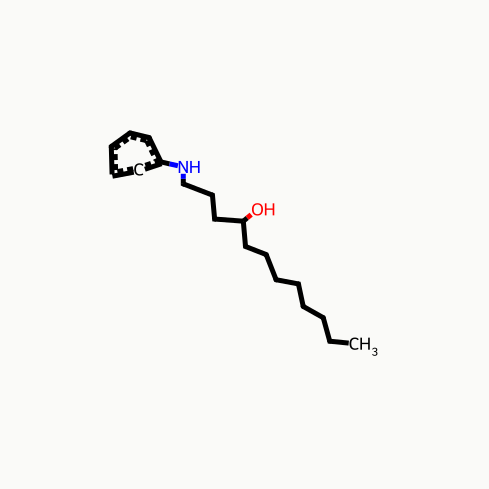 CCCCCCCCC(O)CCCNc1ccccc1